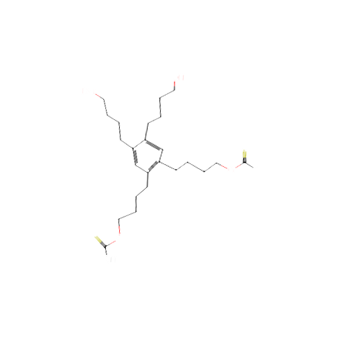 CC(=S)OCCCCc1cc(CCCCO)c(CCCCO)cc1CCCCOC(C)=S